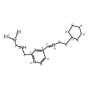 CCN(CC)CNCc1cc(/C=N/CCC2CCCCC2)ccn1